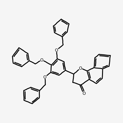 O=C1CC(c2cc(OCc3ccccc3)c(OCc3ccccc3)c(OCc3ccccc3)c2)Oc2c1ccc1ccccc21